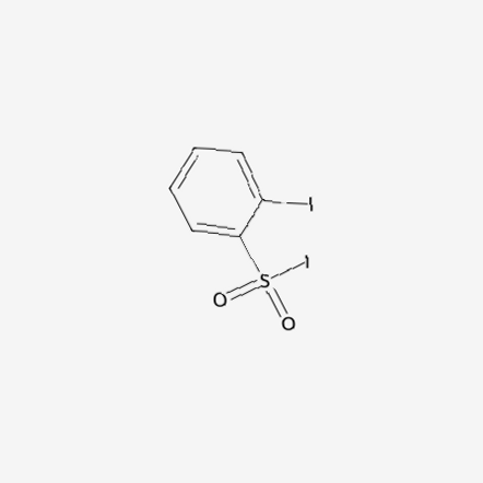 O=S(=O)(I)c1ccccc1I